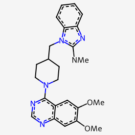 CNc1nc2ccccc2n1CC1CCN(c2ncnc3cc(OC)c(OC)cc23)CC1